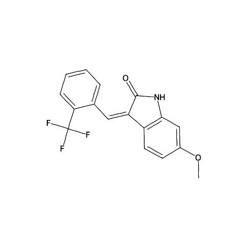 COc1ccc2c(c1)NC(=O)C2=Cc1ccccc1C(F)(F)F